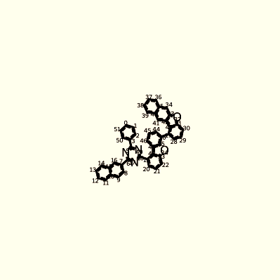 c1ccc(-c2nc(-c3ccc4ccccc4c3)nc(-c3cccc4oc5c(-c6cccc7oc8cc9ccccc9cc8c67)cccc5c34)n2)cc1